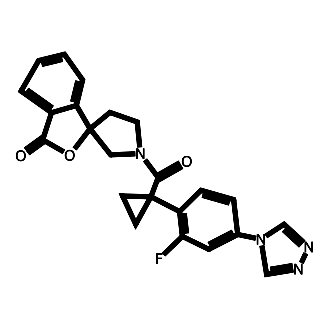 O=C1OC2(CCN(C(=O)C3(c4ccc(-n5cnnc5)cc4F)CC3)C2)c2ccccc21